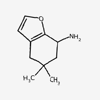 CC1(C)Cc2ccoc2C(N)C1